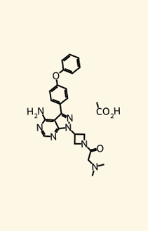 CC(=O)O.CN(C)CC(=O)N1CC(n2nc(-c3ccc(Oc4ccccc4)cc3)c3c(N)ncnc32)C1